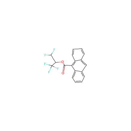 O=C(OC(C(F)F)C(F)(F)F)c1c2ccccc2cc2ccccc12